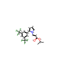 CC(C)OC(=O)C=Cn1cccc1-c1cc(C(F)(F)F)cc(C(F)(F)F)c1